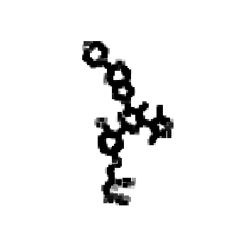 CNC[C@@H](O)COc1ccc(Cl)c(-c2nc(-c3c(C)noc3C)c(C)c(N3Cc4cnc(N5CCOCC5)nc4C3)n2)c1